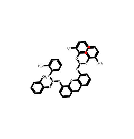 Cc1ccccc1OP(Oc1ccccc1C)Oc1cccc2c1Oc1c(cccc1OP(Oc1ccccc1C)Oc1ccccc1C)C2